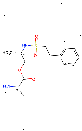 C[C@H](N)C(=O)OC[C@@H](NS(=O)(=O)CCc1ccccc1)C(=O)O